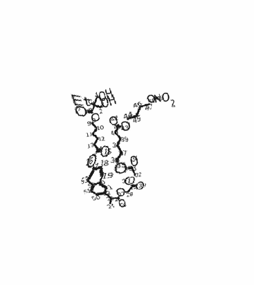 CCC(CO)(CO)C(=O)OCCCCCC(=O)Oc1ccc2cc(C(C)C(=O)OCC(=O)OCC(=O)OCCCCCC(=O)OCCCCO[N+](=O)[O-])ccc2c1